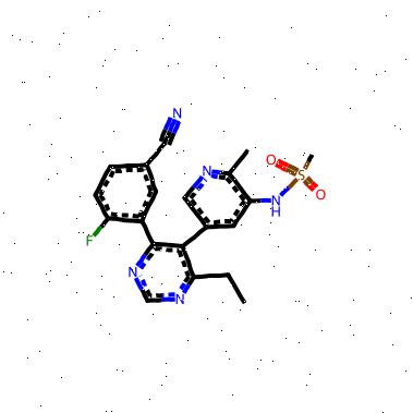 CCc1ncnc(-c2cc(C#N)ccc2F)c1-c1cnc(C)c(NS(C)(=O)=O)c1